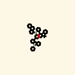 CC1(C)c2ccccc2-c2c(-c3ccccc3N(c3cccc(-c4cccc5c4c4ccccc4n5-c4ccccc4)c3)c3cccc4c3ccc3ccccc34)cccc21